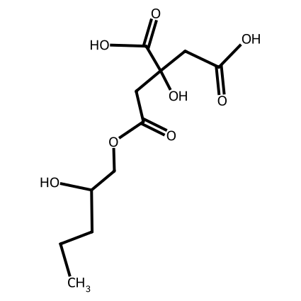 CCCC(O)COC(=O)CC(O)(CC(=O)O)C(=O)O